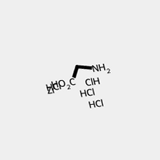 Cl.Cl.Cl.Cl.NCC(=O)O.[Zr]